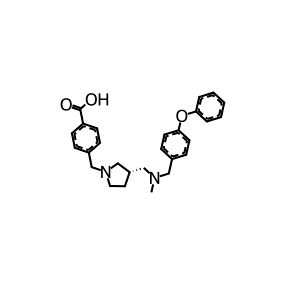 CN(Cc1ccc(Oc2ccccc2)cc1)C[C@@H]1CCN(Cc2ccc(C(=O)O)cc2)C1